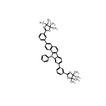 CC1(C)N=C(c2cccc(-c3ccc4c(ccc5c6ccc(-c7cccc(C8=NC(C)(C)C(C)(C)O8)c7)cc6n(-c6ccccc6)c45)c3)c2)OC1(C)C